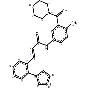 Cc1ccc(NC(=O)/C=C/c2cnccc2-c2cn[nH]c2)cc1C(=O)N1CCOCC1